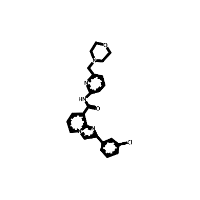 O=C(Nc1cccc(CN2CCOCC2)n1)c1cccn2cc(-c3cccc(Cl)c3)nc12